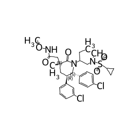 CCC(CN(C)S(=O)(=O)C1CC1)N1C(=O)[C@@](C)(CC(=O)NOC)C[C@H](c2cccc(Cl)c2)[C@H]1c1ccc(Cl)cc1